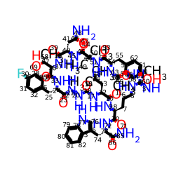 CNC(=N)NCCC[C@H](NC(=O)[C@H](CC(C)C)NC(=O)NNC(=O)[C@H](Cc1ccc(F)cc1)NC(=O)[C@@H](NC(=O)[C@H](CC(N)=O)NC(=O)C(C)(C)NC(=O)[C@@H](Cc1ccc(O)cc1)NC(C)=O)[C@@H](C)O)C(=O)N[C@@H](Cc1c[nH]c2ccccc12)C(N)=O